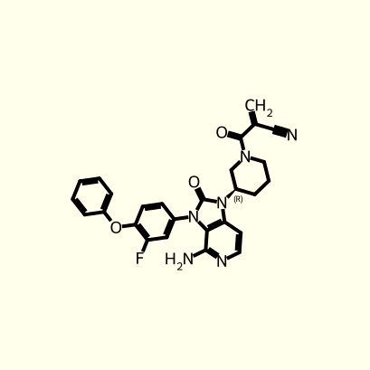 C=C(C#N)C(=O)N1CCC[C@@H](n2c(=O)n(-c3ccc(Oc4ccccc4)c(F)c3)c3c(N)nccc32)C1